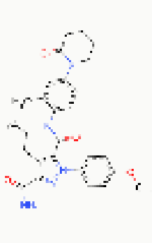 CCCc1c(C(N)=O)nn(-c2ccc(OC)cc2)c1C(=O)Nc1ccc(N2CCCCC2=O)cc1C